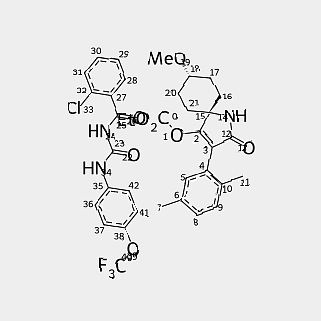 CCOC(=O)OC1=C(c2cc(C)ccc2C)C(=O)N[C@]12CC[C@@H](OC)CC2.O=C(NC(=O)c1ccccc1Cl)Nc1ccc(OC(F)(F)F)cc1